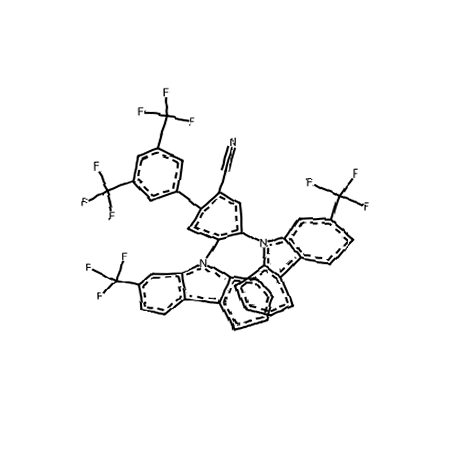 N#Cc1cc(-n2c3ccccc3c3ccc(C(F)(F)F)cc32)c(-n2c3ccccc3c3ccc(C(F)(F)F)cc32)cc1-c1cc(C(F)(F)F)cc(C(F)(F)F)c1